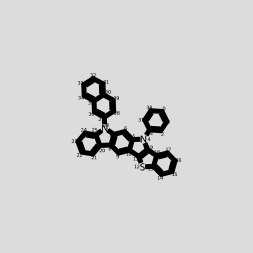 c1ccc(-n2c3cc4c(cc3c3sc5ccccc5c32)c2ccccc2n4-c2ccc3ccccc3c2)cc1